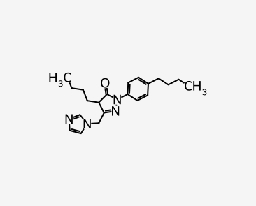 CCCCc1ccc(N2N=C(Cn3ccnc3)C(CCCC)C2=O)cc1